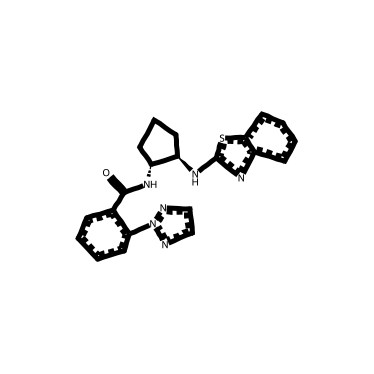 O=C(N[C@@H]1CCC[C@H]1Nc1nc2ccccc2s1)c1ccccc1-n1nccn1